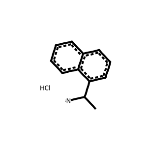 CC([N])c1cccc2ccccc12.Cl